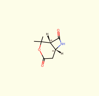 CC1(C)OC(=O)C[C@H]2NC(=O)[C@H]21